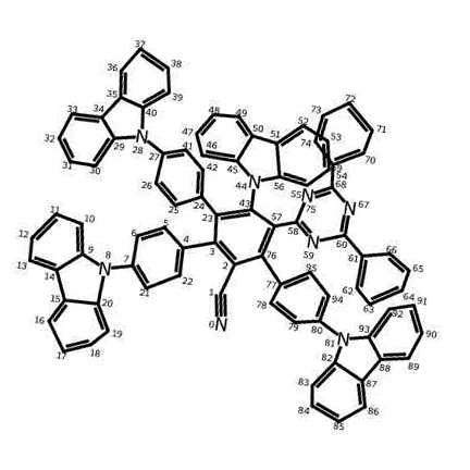 N#Cc1c(-c2ccc(-n3c4ccccc4c4ccccc43)cc2)c(-c2ccc(-n3c4ccccc4c4ccccc43)cc2)c(-n2c3ccccc3c3ccccc32)c(-c2nc(-c3ccccc3)nc(-c3ccccc3)n2)c1-c1ccc(-n2c3ccccc3c3ccccc32)cc1